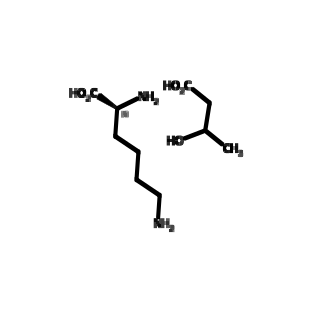 CC(O)CC(=O)O.NCCCC[C@H](N)C(=O)O